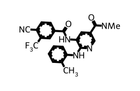 CNC(=O)c1cnc(Nc2ccccc2C)c(NC(=O)c2ccc(C#N)c(C(F)(F)F)c2)c1